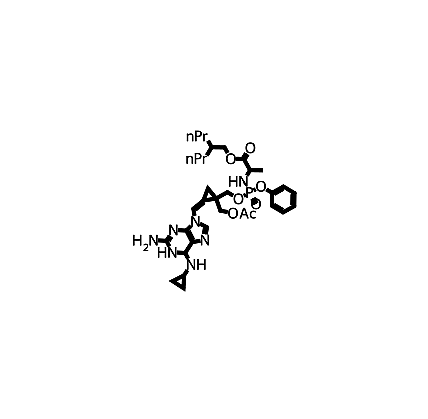 CCCC(CCC)COC(=O)C(C)N[P@](=O)(OCC1(COC(C)=O)C/C1=C/n1cnc2c1N=C(N)NC2NC1CC1)Oc1ccccc1